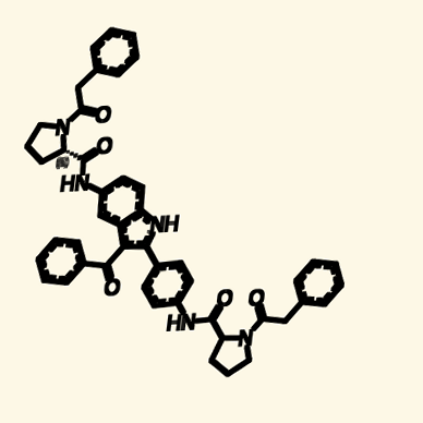 O=C(c1ccccc1)c1c(-c2ccc(NC(=O)C3CCCN3C(=O)Cc3ccccc3)cc2)[nH]c2ccc(NC(=O)[C@@H]3CCCN3C(=O)Cc3ccccc3)cc12